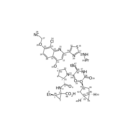 CC[C@@H]1CC1(NC(=O)[C@@H]1C[C@H](Oc2cc(-c3csc(NC(C)C)n3)nc3c(Cl)c(OCC#N)ccc23)CN1C(=O)[C@H](NC(=O)O[C@@H]1C[C@@H]2C[C@@H]2C1)C(C)(C)C)C(=O)O